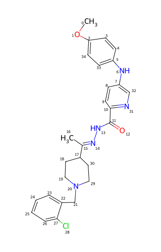 COc1ccc(Nc2ccc(C(=O)N/N=C(\C)C3CCN(Cc4ccccc4Cl)CC3)nc2)cc1